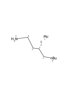 CCCCCCCCN.[I].[Pb]